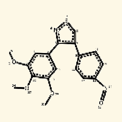 COc1cc(-c2nscc2-c2ccc(N=O)cc2)cc(OC)c1OC